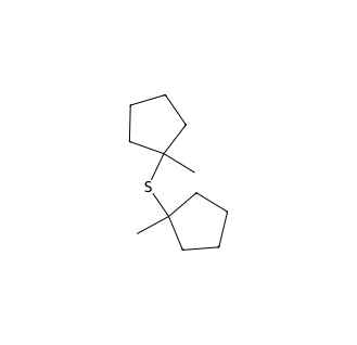 CC1(SC2(C)CCCC2)CCCC1